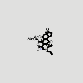 C=CCN(/C=C1/C(=O)O[C@H](COC)[C@@]2(C)C1=C(O)C(=O)C1=C2[C@H](OC(C)=O)CC2(C)C(=O)CCC12)CC=C